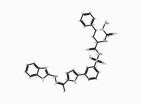 CC(=NNc1nc2ccccc2s1)c1ccc(-c2cccc(S(=O)(=O)NC(=O)C(CCc3ccccc3)NC(=O)OC(C)(C)C)c2)o1